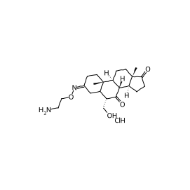 C[C@]12CC/C(=N/OCCN)CC1[C@@H](CO)C(=O)[C@@H]1[C@@H]2CC[C@]2(C)C(=O)CC[C@@H]12.Cl